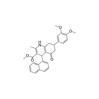 COC(=O)C1=C(C)NC2=C(C(=O)CC(c3ccc(OC)c(OC)c3)C2)C1c1cccc2ccccc12